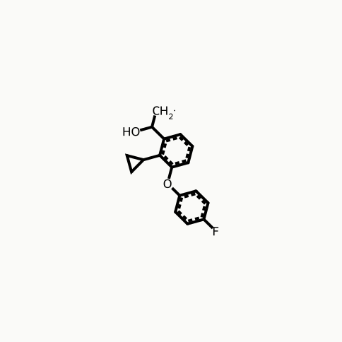 [CH2]C(O)c1cccc(Oc2ccc(F)cc2)c1C1CC1